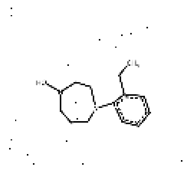 CCc1ccccc1N1CCCN(O)CC1